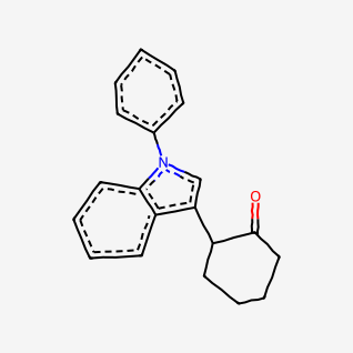 O=C1CCCCC1c1cn(-c2ccccc2)c2ccccc12